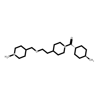 CN1CCC(COCCC2CCN(C(=O)[C@H]3CC[C@H](C)CC3)CC2)CC1